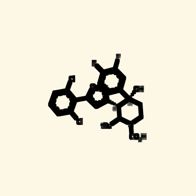 CC(C)(C)C1[C@H](c2cc(-c3c(Cl)cccc3Cl)on2)[C@@](O)(c2ccc(F)c(F)c2)CCN1C(=O)O